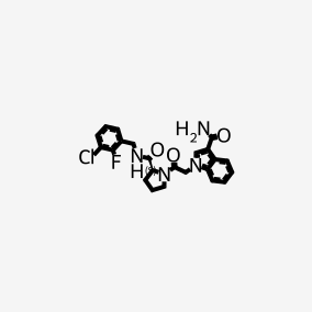 NC(=O)c1cn(CC(=O)N2CCC[C@H]2C(=O)NCc2cccc(Cl)c2F)c2ccccc12